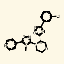 Cn1c(-c2ccncc2)nnc1N1CCOC[C@H]1c1nc(-c2cccc(Cl)c2)no1